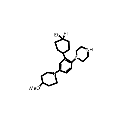 CCC1(CC)CCC(c2cc(N3CCC(OC)CC3)ccc2N2CCNCC2)CC1